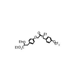 CCOC(=O)[C@H](Cc1ccc(OCC(=O)N(CC)Cc2ccc(OC(F)(F)F)cc2)cc1)OCC